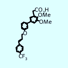 COc1cc(-c2cccc(OCC=Cc3ccc(C(F)(F)F)cc3)c2)cc(CC(=O)O)c1OC